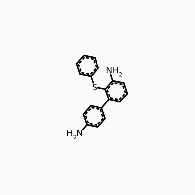 Nc1ccc(-c2cccc(N)c2Sc2ccccc2)cc1